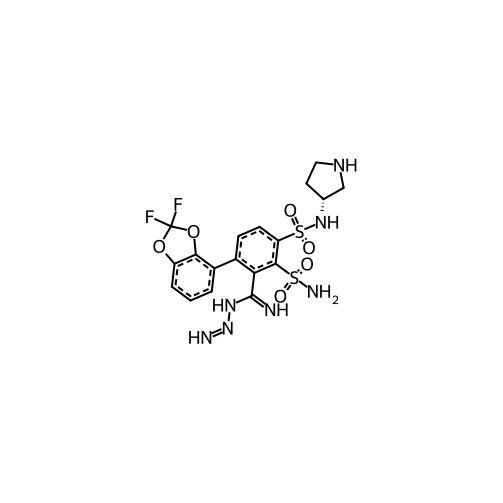 N=NNC(=N)c1c(-c2cccc3c2OC(F)(F)O3)ccc(S(=O)(=O)N[C@@H]2CCNC2)c1S(N)(=O)=O